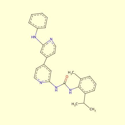 Cc1cccc(C(C)C)c1NC(=O)Nc1cc(-c2ccnc(Nc3ccccc3)c2)ccn1